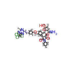 Cc1nc(/C=C/c2ccc(OCc3ccc(C(CC(CC(C)C(=O)O)C(N)=O)CC4C(=O)N(c5ccccc5)C(=O)C4C)cc3)cc2)nc(C(Cl)(Cl)Cl)n1